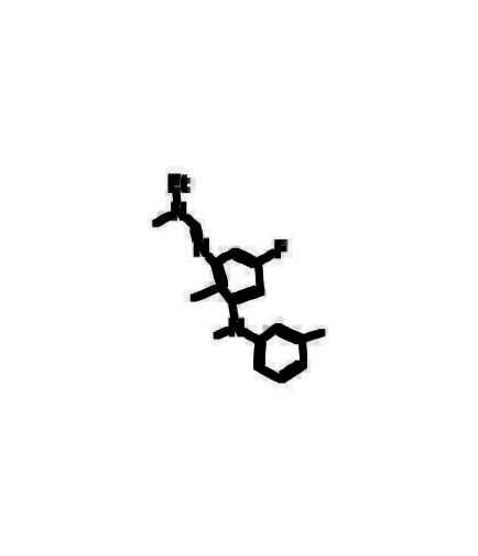 CCN(C)C=Nc1cc(F)cc(N(C)c2cccc(C)c2)c1C